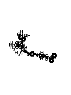 CN(CCNC[C@H](O[Si](C)(C)C(C)(C)C)c1ccc(O)c2[nH]c(=O)ccc12)C(=O)CCOc1ccc(CCN2C[C@H]3C[C@H](OC(=O)Nc4ccccc4-c4ccccc4)C[C@H]3C2)cc1